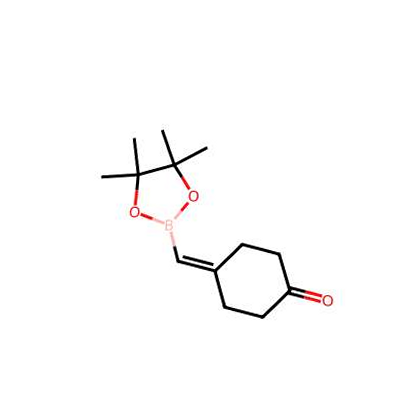 CC1(C)OB(C=C2CCC(=O)CC2)OC1(C)C